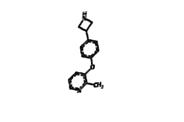 Cc1ncccc1Oc1ccc(C2CNC2)cc1